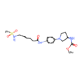 CC(C)S(=O)(=O)NCCCCC(=O)Nc1ccc(N2CCC(NC(=O)OC(C)(C)C)C2)cc1